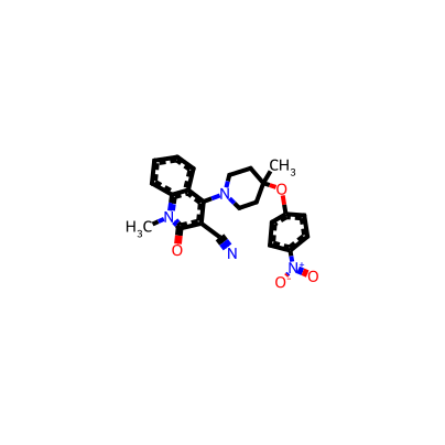 Cn1c(=O)c(C#N)c(N2CCC(C)(Oc3ccc([N+](=O)[O-])cc3)CC2)c2ccccc21